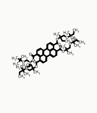 CCN(COC(C)(C)C)OC(=O)c1ccc2c3ccc(C(=O)OC(C)(CC)COC(C)(C)CC)c4c(C(=O)OC(C)(C)COC(C)(C)CC)ccc(c5ccc(C(=O)OC(C)(CC)COC(C)(C)CC)c1c52)c43